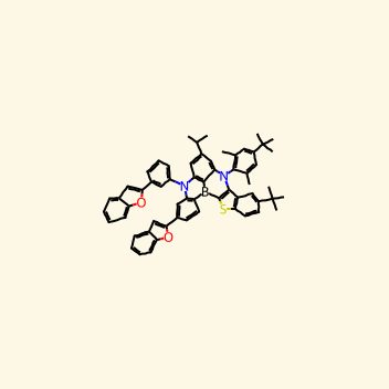 Cc1cc(C(C)(C)C)cc(C)c1N1c2cc(C(C)C)cc3c2B(c2ccc(-c4cc5ccccc5o4)cc2N3c2cccc(-c3cc4ccccc4o3)c2)c2sc3ccc(C(C)(C)C)cc3c21